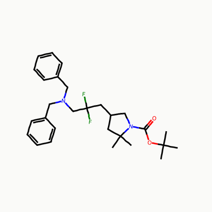 CC(C)(C)OC(=O)N1CC(CC(F)(F)CN(Cc2ccccc2)Cc2ccccc2)CC1(C)C